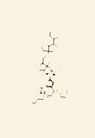 CCN[C@H]1CN(CCCOC)S(=O)(=O)c2sc(S(=O)(=O)NC(C)(CC)C(=O)[C@H](C)OC(C)(CC)C(=O)C(C)C(C)CC)cc21